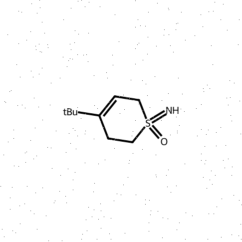 CC(C)(C)C1=CCS(=N)(=O)CC1